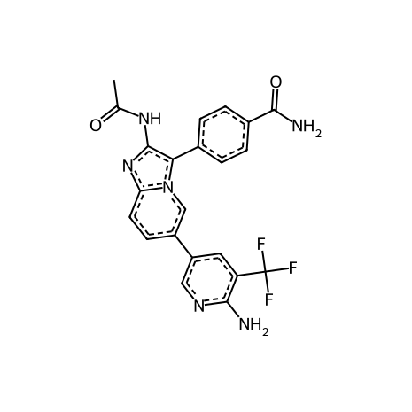 CC(=O)Nc1nc2ccc(-c3cnc(N)c(C(F)(F)F)c3)cn2c1-c1ccc(C(N)=O)cc1